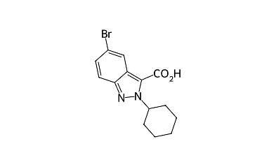 O=C(O)c1c2cc(Br)ccc2nn1C1CCCCC1